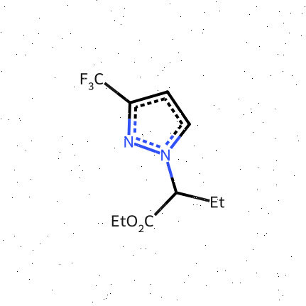 CCOC(=O)C(CC)n1ccc(C(F)(F)F)n1